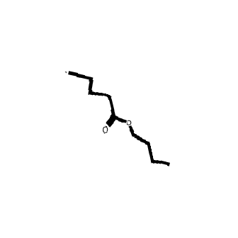 [CH2]CC[CH]C(=O)OCCCC